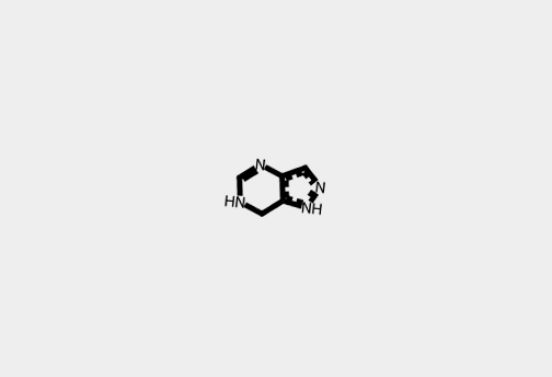 C1=Nc2cn[nH]c2CN1